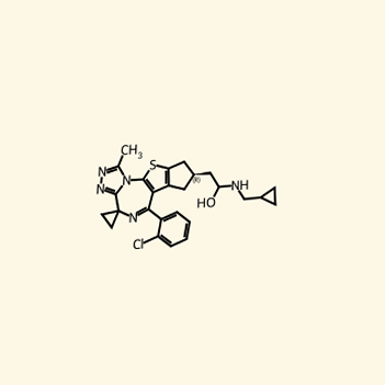 Cc1nnc2n1-c1sc3c(c1C(c1ccccc1Cl)=NC21CC1)C[C@H](CC(O)NCC1CC1)C3